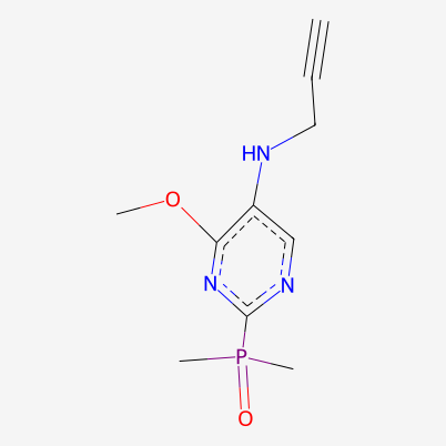 C#CCNc1cnc(P(C)(C)=O)nc1OC